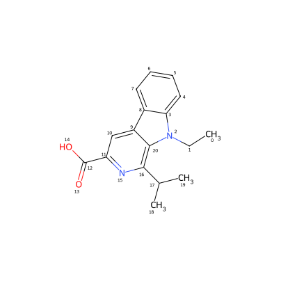 CCn1c2ccccc2c2cc(C(=O)O)nc(C(C)C)c21